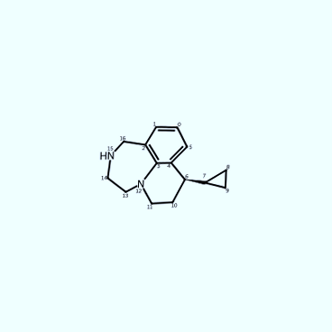 c1cc2c3c(c1)[C@@H](C1CC1)CCN3CCNC2